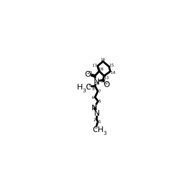 CCCN=NCCCC(C)N1C(=O)C2CCCCC2C1=O